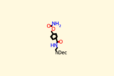 CCCCCCCCCCCCNC(=O)c1ccc(COC(N)=O)cc1